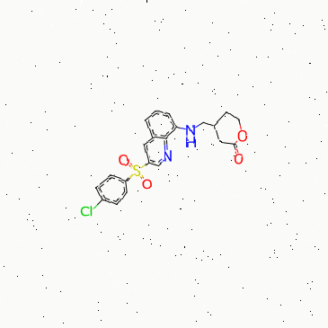 O=C1CC(CNc2cccc3cc(S(=O)(=O)c4ccc(Cl)cc4)cnc23)CCO1